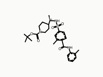 Cc1ccccc1NC(=O)c1ccc(S(=O)(=O)N[C@H](C)C2CCN(C(=O)OC(C)(C)C)CC2)cc1C